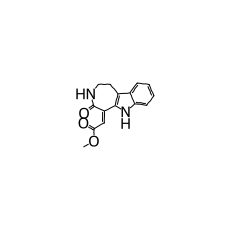 COC(=O)C=C1C(=O)NCCc2c1[nH]c1ccccc21